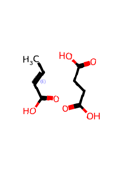 C/C=C/C(=O)O.O=C(O)CCC(=O)O